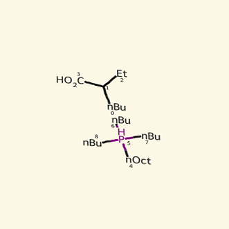 CCCCC(CC)C(=O)O.CCCCCCCC[PH](CCCC)(CCCC)CCCC